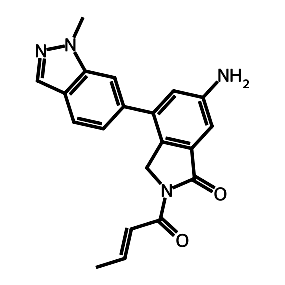 C/C=C/C(=O)N1Cc2c(cc(N)cc2-c2ccc3cnn(C)c3c2)C1=O